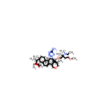 CCN(C)C(C)(CCOC)CO[C@H]1[C@H](n2nnc(N)n2)C[C@@]23COC[C@]1(C)[C@@H]2CC[C@H]1C3=CC[C@@]2(C)[C@H](C(=O)O)[C@@](C)([C@H](C)C(C)C)CC[C@]12C